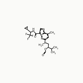 Cc1cc(N(C)CC(OC=O)C(C)C)nn2c(C(=O)NC(C3CC3)C(F)(F)F)cnc12